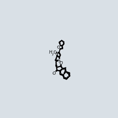 Cn1c(-c2cc3ccccc3o2)cc2sc(C=C3C(=O)c4cc5ccccc5cc4C3=O)cc21